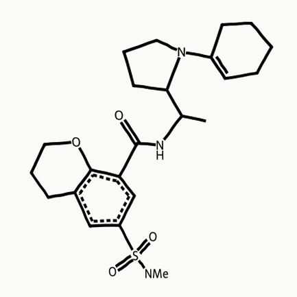 CNS(=O)(=O)c1cc2c(c(C(=O)NC(C)C3CCCN3C3=CCCCC3)c1)OCCC2